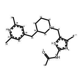 CC(=O)Nc1nc(F)c(CN2CCCC(Cc3cc(C)nc(C)c3)C2)s1